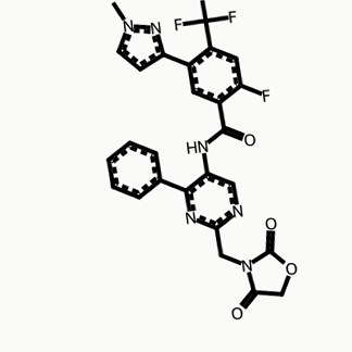 Cn1ccc(-c2cc(C(=O)Nc3cnc(CN4C(=O)COC4=O)nc3-c3ccccc3)c(F)cc2C(F)(F)F)n1